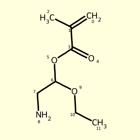 C=C(C)C(=O)OC(CN)OCC